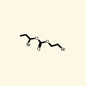 CCC(Br)OC(=O)OCCBr